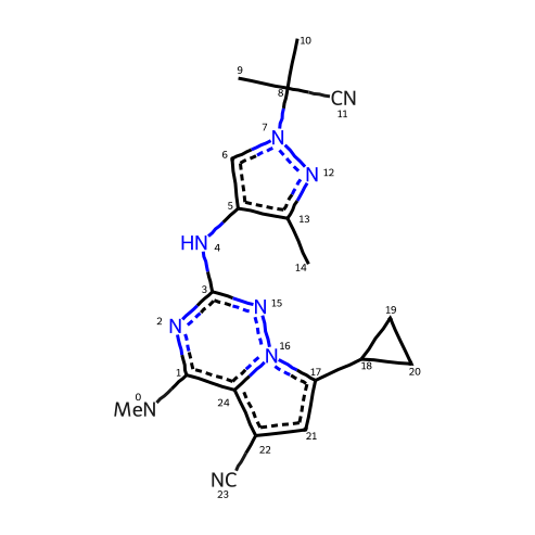 CNc1nc(Nc2cn(C(C)(C)C#N)nc2C)nn2c(C3CC3)cc(C#N)c12